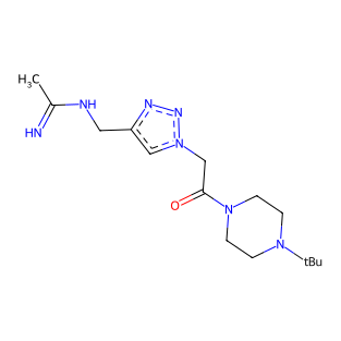 CC(=N)NCc1cn(CC(=O)N2CCN(C(C)(C)C)CC2)nn1